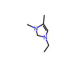 CCN1C=C(C)N(C)C1